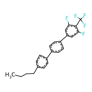 CCCCc1ccc(-c2ccc(-c3cc(F)c(C(F)(F)F)c(F)c3)cc2)cc1